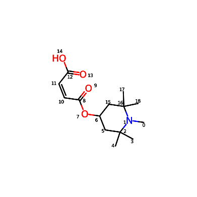 CN1C(C)(C)CC(OC(=O)/C=C\C(=O)O)CC1(C)C